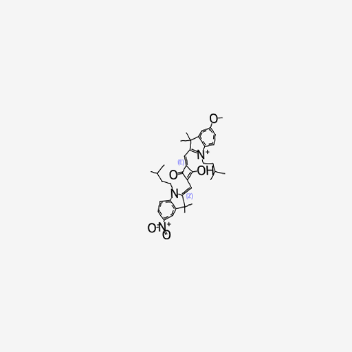 COc1ccc2c(c1)C(C)(C)C(/C=C1/C(=O)C(/C=C3\N(CCC(C)C)c4ccc([N+](=O)[O-])cc4C3(C)C)=C1O)=[N+]2CCC(C)C